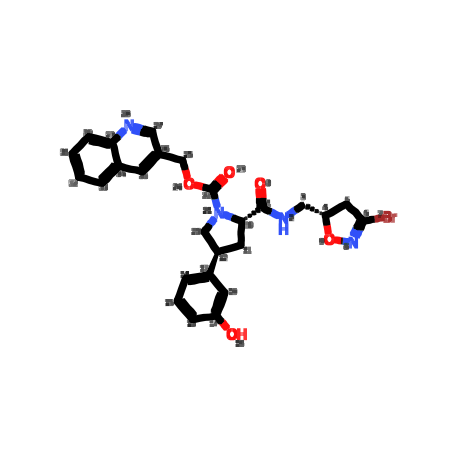 O=C(NC[C@@H]1CC(Br)=NO1)[C@@H]1C[C@@H](c2cccc(O)c2)CN1C(=O)OCc1cnc2ccccc2c1